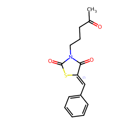 CC(=O)CCCN1C(=O)S/C(=C\c2ccccc2)C1=O